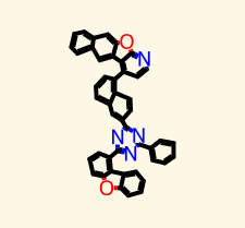 c1ccc(-c2nc(-c3ccc4c(-c5ccnc6oc7cc8ccccc8cc7c56)cccc4c3)nc(-c3cccc4oc5ccccc5c34)n2)cc1